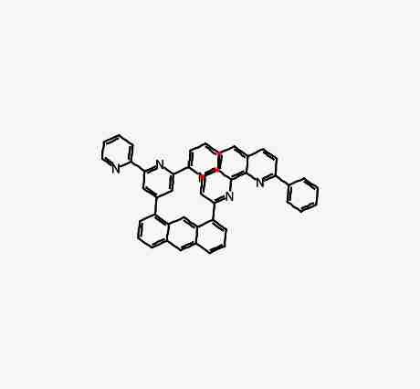 c1ccc(-c2ccc3ccc4ccc(-c5cccc6cc7cccc(-c8cc(-c9ccccn9)nc(-c9ccccn9)c8)c7cc56)nc4c3n2)cc1